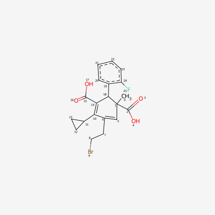 CC1(C(=O)O)C=C(CCBr)C(C2CC2)=C(C(=O)O)C1c1ccccc1F